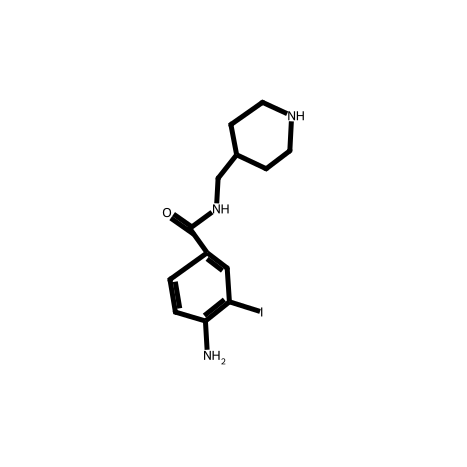 Nc1ccc(C(=O)NCC2CCNCC2)cc1I